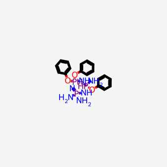 NP1(N)=N[PH](Oc2ccccc2)(Oc2ccccc2)N[PH](N)(Oc2ccccc2)N1